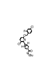 CC(C)(C)OC(=O)N1C[C@@H]2C(c3nc(OCc4ccc(Cl)cc4F)ccc3Cl)[C@@H]2C1